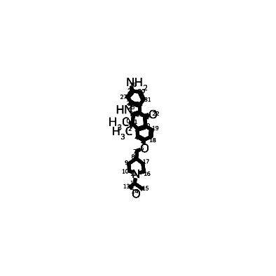 CC1(C)c2cc(OCC3CCN(C4COC4)CC3)ccc2C(=O)c2c1[nH]c1cc(N)ccc21